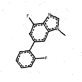 Cn1cnc2c(F)cc(-c3[c]cccc3F)cc21